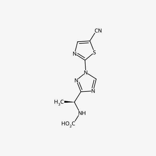 C[C@H](NC(=O)O)c1ncn(-c2ncc(C#N)s2)n1